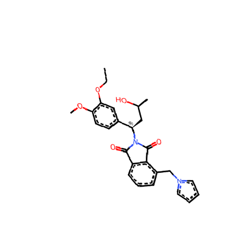 CCOc1cc([C@@H](CC(C)O)N2C(=O)c3cccc(Cn4cccc4)c3C2=O)ccc1OC